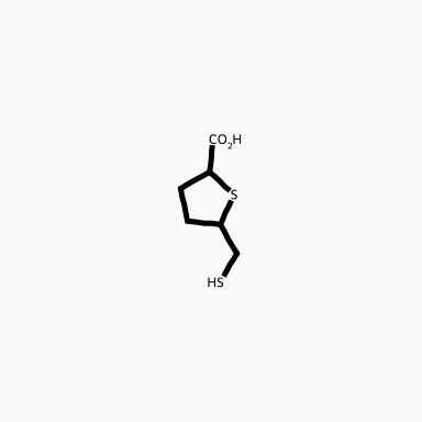 O=C(O)C1CCC(CS)S1